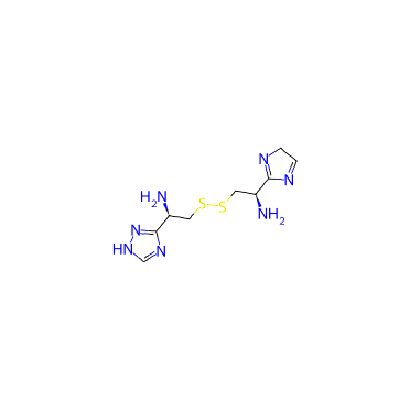 N[C@@H](CSSC[C@H](N)c1nc[nH]n1)C1=NCC=N1